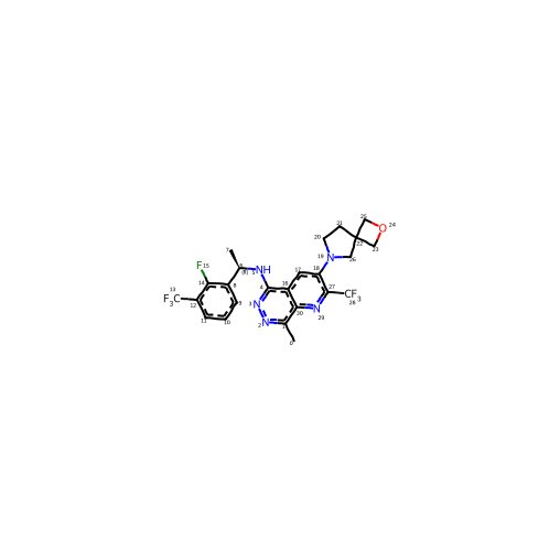 Cc1nnc(N[C@H](C)c2cccc(C(F)(F)F)c2F)c2cc(N3CCC4(COC4)C3)c(C(F)(F)F)nc12